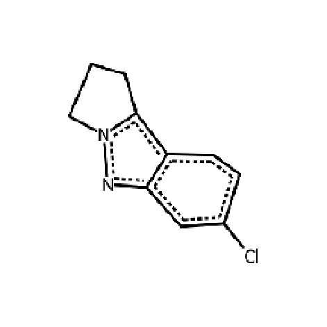 Clc1ccc2c3n(nc2c1)CCC3